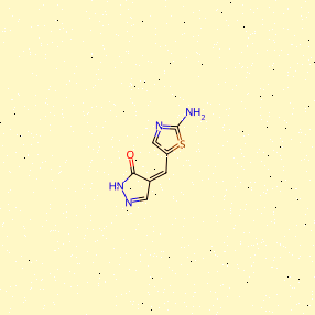 Nc1ncc(C=C2C=NNC2=O)s1